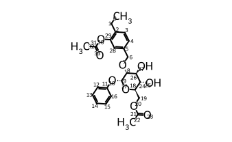 CCc1ccc(CO[C@H]2[C@@H](Oc3ccccc3)O[C@H](COC(C)=O)[C@@H](O)[C@@H]2O)cc1OC(C)=O